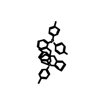 Cc1ccc(P(c2ccc(C)cc2)c2ccccc2CC2(Cc3ccccc3P(c3ccc(C)cc3)c3ccc(C)cc3)CCCCC2)cc1